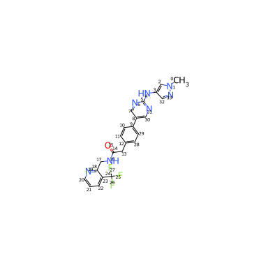 Cn1cc(Nc2ncc(-c3ccc(CC(=O)NCc4ncccc4C(F)(F)F)cc3)cn2)cn1